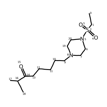 CCS(=O)(=O)N1CCN(CCCCCC(=O)C(C)C)CC1